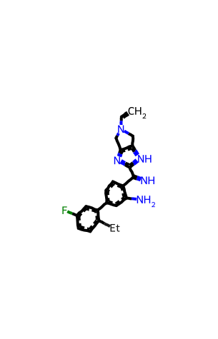 C=CN1Cc2nc(C(=N)c3ccc(-c4cc(F)ccc4CC)cc3N)[nH]c2C1